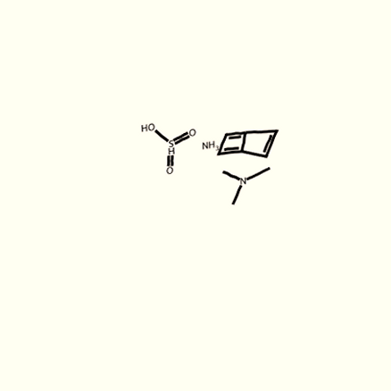 CN(C)C.N.O=[SH](=O)O.c1cc2ccc1-2